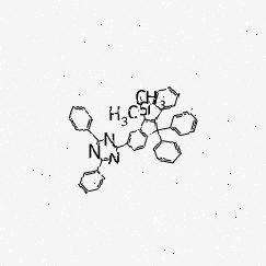 C[Si]1(C)C2=C(c3ccccc31)C(c1ccccc1)(c1ccccc1)c1ccc(-c3nc(-c4ccccc4)nc(-c4ccccc4)n3)cc12